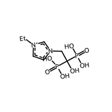 CC[n+]1ccn(CC(O)(P(=O)(O)O)P(=O)(O)O)c1